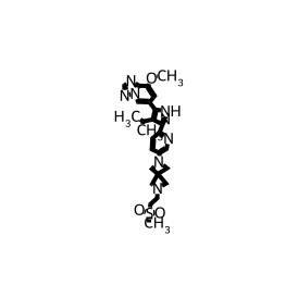 COc1cc(-c2[nH]nc(-c3ccc(N4CC5(CN(CCS(C)(=O)=O)C5)C4)cn3)c2C(C)C)cn2ncnc12